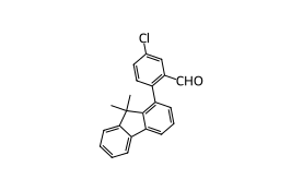 CC1(C)c2ccccc2-c2cccc(-c3ccc(Cl)cc3C=O)c21